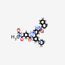 CN(CC=O)C(=O)c1cccc(C(=O)Nc2ccc(N3CCCCC3)cc2-c2cc(C(=O)NC3CCCc4ccccc43)ccn2)c1